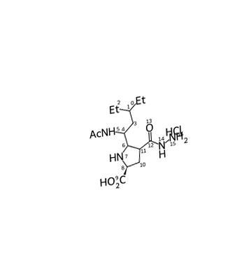 CCC(CC)CC(NC(C)=O)C1N[C@H](C(=O)O)CC1C(=O)NN.Cl